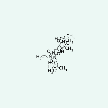 C=CCn1c(=O)n(CC(O)Cn2c(=O)n(C)c(=O)n(C(C)(C)CC)c2=O)c(=O)n(CC(O)CC(C)(C)CC)c1=O